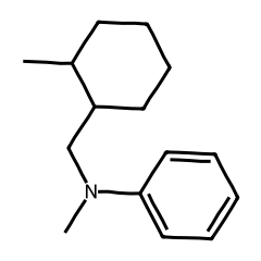 CC1CCCCC1CN(C)c1ccccc1